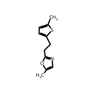 Cc1cnc(CCc2ccc(C)s2)o1